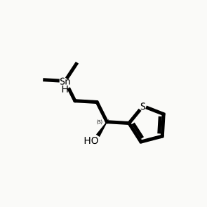 [CH3][SnH]([CH3])[CH2]C[C@H](O)c1cccs1